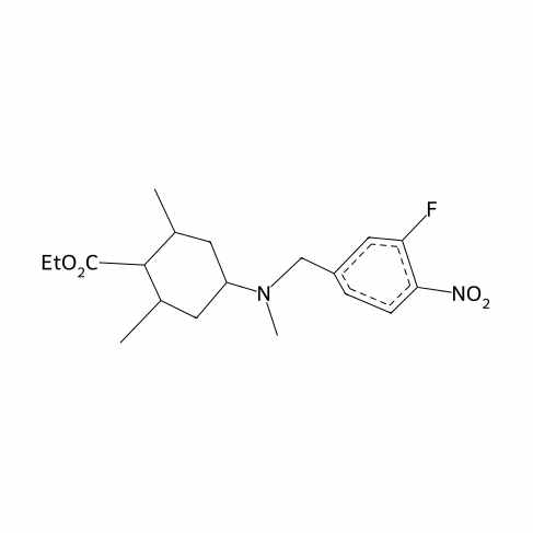 CCOC(=O)C1C(C)CC(N(C)Cc2ccc([N+](=O)[O-])c(F)c2)CC1C